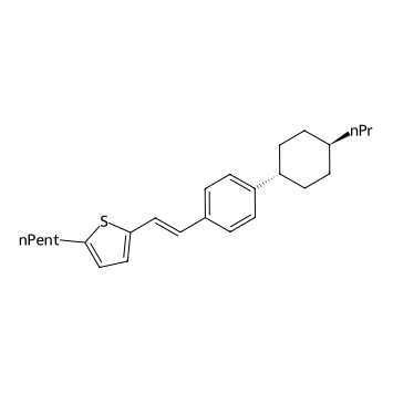 CCCCCc1ccc(/C=C/c2ccc([C@H]3CC[C@H](CCC)CC3)cc2)s1